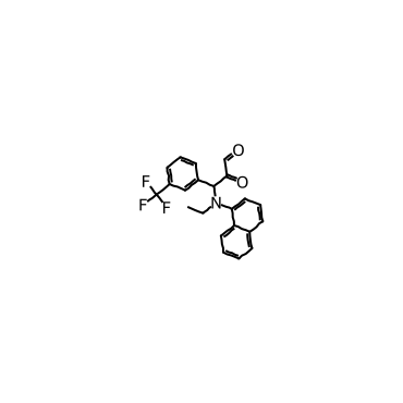 CCN(c1cccc2ccccc12)C(C(=O)C=O)c1cccc(C(F)(F)F)c1